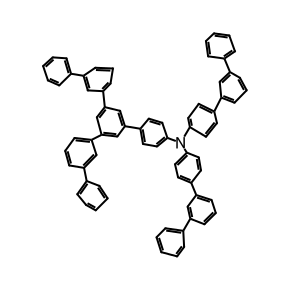 c1ccc(-c2cccc(-c3ccc(N(c4ccc(-c5cccc(-c6ccccc6)c5)cc4)c4ccc(-c5cc(-c6cccc(-c7ccccc7)c6)cc(-c6cccc(-c7ccccc7)c6)c5)cc4)cc3)c2)cc1